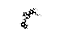 COCc1cc(-c2cnc(NCc3cccc4c3CCO4)n3cnnc23)cnc1C